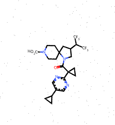 O=C(O)N1CCC2(CC1)CC(C(C(F)(F)F)C(F)(F)F)CN2C(=O)C1(c2ncc(C3CC3)cn2)CC1